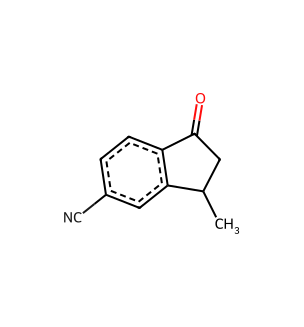 CC1CC(=O)c2ccc(C#N)cc21